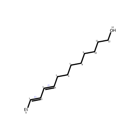 CC/C=C/C=C/CCCCCCCCO